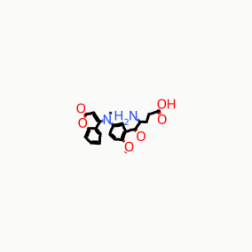 COc1ccc(N(C)c2cc(=O)oc3ccccc23)cc1C(=O)C(N)CCC(=O)O